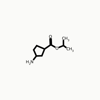 CC(C)OC(=O)C1CCC(N)C1